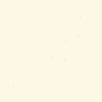 COc1cccc(C(=O)Cn2cnc3c(C#N)c(N4CCCC(N)C4)n(CC=C(C)C)c3c2=O)c1